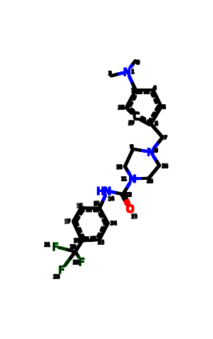 CN(C)c1ccc(CN2CCN(C(=O)Nc3ccc(C(F)(F)F)cc3)CC2)cc1